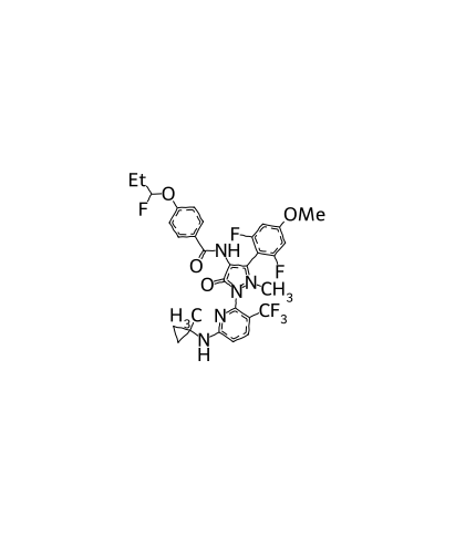 CCC(F)Oc1ccc(C(=O)Nc2c(-c3c(F)cc(OC)cc3F)n(C)n(-c3nc(NC4(C)CC4)ccc3C(F)(F)F)c2=O)cc1